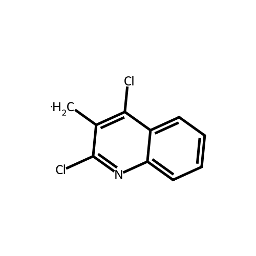 [CH2]c1c(Cl)nc2ccccc2c1Cl